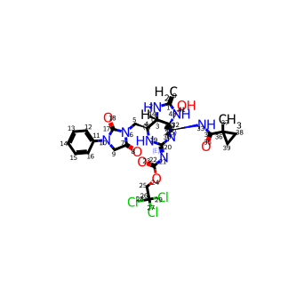 C=C1N[C@H]2[C@H](CN3C(=O)CN(c4ccccc4)C3=O)N/C(=N\C(=O)OCC(Cl)(Cl)Cl)N3C[C@H](NC(=O)C4(C)CC4)[C@H](O)[C@]23N1